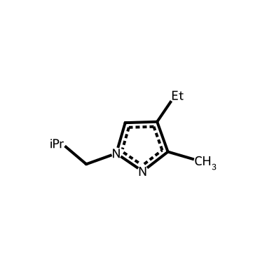 CCc1cn(CC(C)C)nc1C